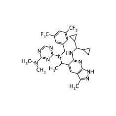 Cc1n[nH]c2nc(NC(C3CC3)C3CC3)c(C(C)N(Cc3cc(C(F)(F)F)cc(C(F)(F)F)c3)c3ncnc(N(C)C)n3)cc12